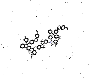 C=Cc1ccc(Oc2ccc(C3(c4ccc(F)cc4)c4ccccc4-c4ccc(/C(=C\c5ccc6c(c5)C5(CC6(C)C)CC(C)(C)c6ccc(CC(c7ccc8c(c7)C(c7ccc(C)cc7)(c7ccc(Oc9ccc(C=C)cc9)cc7)c7ccccc7-8)c7cccc(F)c7F)cc65)c5cccc(F)c5F)cc43)cc2)cc1